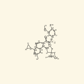 CNC1(COC)CCN(c2c(C(=O)N[C@@H](C)c3ccc(F)c(OC)c3)cnc3c(C4CC4)nc(C)cc23)C1